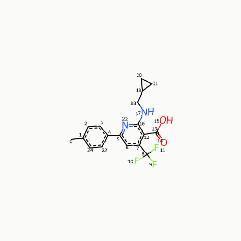 Cc1ccc(-c2cc(C(F)(F)F)c(C(=O)O)c(NCC3CC3)n2)cc1